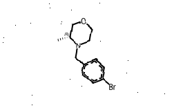 C[C@@H]1COCCN1Cc1ccc(Br)cc1